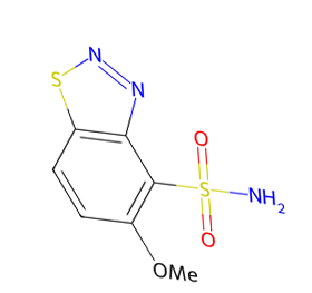 COc1ccc2snnc2c1S(N)(=O)=O